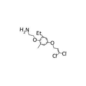 CCc1cc(OCC=C(Cl)Cl)cc(C)c1OCCN